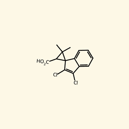 CC1(C)C(C(=O)O)C12C(Cl)=C(Cl)c1ccccc12